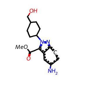 COC(=O)c1c2cc(N)ccc2nn1C1CCC(CO)CC1